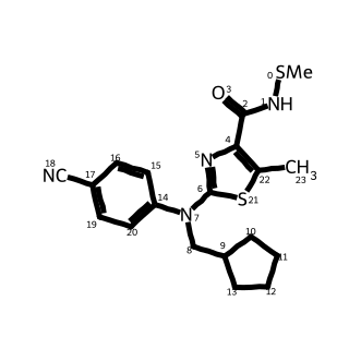 CSNC(=O)c1nc(N(CC2CCCC2)c2ccc(C#N)cc2)sc1C